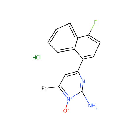 CC(C)c1cc(-c2ccc(F)c3ccccc23)nc(N)[n+]1[O-].Cl